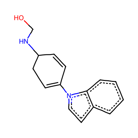 OCNC1C=CC(n2ccc3ccccc32)=CC1